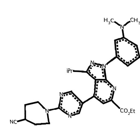 CCOC(=O)c1cc(-c2cnc(N3CCC(C#N)CC3)nc2)c2c(C(C)C)nn(-c3cccc(N(C)C)c3)c2n1